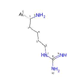 CC(=O)[C@H](N)CCCCNC(=N)N